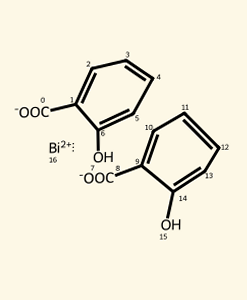 O=C([O-])c1ccccc1O.O=C([O-])c1ccccc1O.[Bi+2]